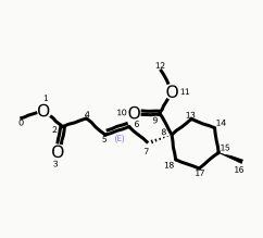 COC(=O)C/C=C/C[C@]1(C(=O)OC)CC[C@@H](C)CC1